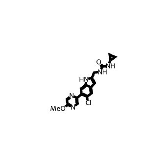 COc1cnc(-c2cc3[nH]c(CNC(=O)NC4CC4)cc3cc2Cl)cn1